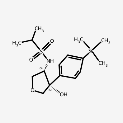 CC(C)S(=O)(=O)N[C@H]1COC[C@]1(O)c1ccc([Si](C)(C)C)cc1